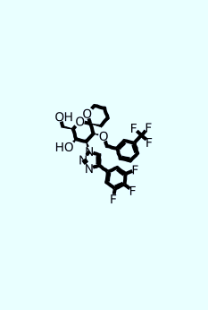 OC[C@H]1O[C@@]2(CCCCO2)[C@H](OCc2cccc(C(F)(F)F)c2)[C@@H](n2cc(-c3cc(F)c(F)c(F)c3)nn2)[C@H]1O